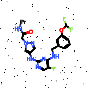 CC(C)NC(=O)Cn1cc(Nc2ncc(F)c(NCc3cccc(OC(F)F)c3)n2)cn1